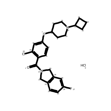 Cl.O=C(c1ccc(OC2CCN(C3CCC3)CC2)cc1Cl)N1Cc2ccc(F)cc2C1